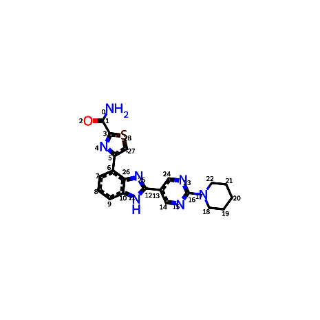 NC(=O)c1nc(-c2cccc3[nH]c(-c4cnc(N5CCCCC5)nc4)nc23)[c]s1